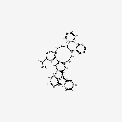 CC(C)c1cc[n+]2c(c1)-c1cc3c4cccc5c6ccccc6n(c3cc1CCC1c3ccccc3-c3cccc[n+]3C1CC2)c54